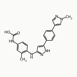 Cc1cc(NC(=O)O)ccc1Nc1cc(-c2ccc(-c3cnn(C)c3)cc2)[nH]n1